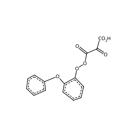 O=C(O)C(=O)C(=O)OOc1ccccc1Oc1ccccc1